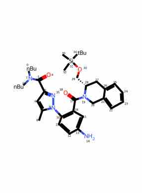 CCCCN(CCCC)C(=O)c1cc(C)n(-c2ccc(N)cc2C(=O)N2Cc3ccccc3C[C@H]2CO[Si](C)(C)C(C)(C)C)n1